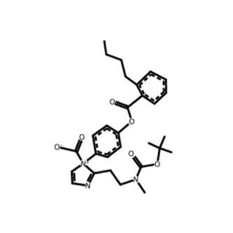 CCCCc1ccccc1C(=O)Oc1ccc([N+]2(C(=O)[O-])C=CN=C2CCN(C)C(=O)OC(C)(C)C)cc1